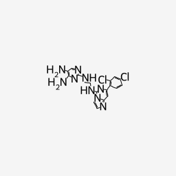 Nc1cnc(NCCNc2nc(-c3ccc(Cl)cc3Cl)cc3nccn23)nc1N